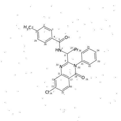 Cc1ccc(C(=O)NC(c2nc3cc(Cl)ccc3c(=O)n2-c2ccccc2)C(C)C)cc1